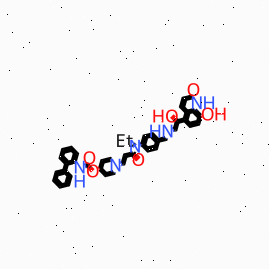 CCN(C(=O)CCN1CCC(OC(=O)Nc2ccccc2-c2ccccc2)CC1)c1ccc(CNCC(O)c2ccc(O)c3[nH]c(=O)ccc23)cc1